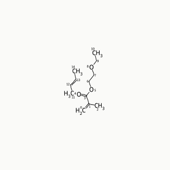 C=C(C)C(=O)OCCOCC.CC=CC